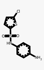 Nc1ccc(NS(=O)(=O)c2ccc(Cl)s2)cc1